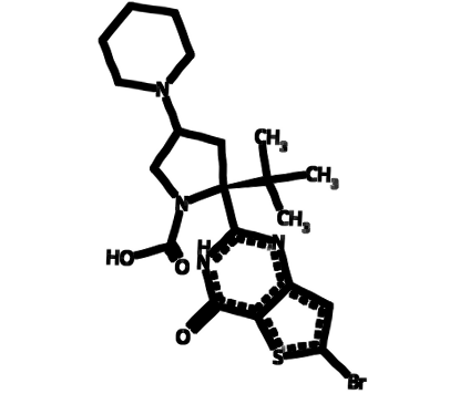 CC(C)(C)[C@]1(c2nc3cc(Br)sc3c(=O)[nH]2)CC(N2CCCCC2)CN1C(=O)O